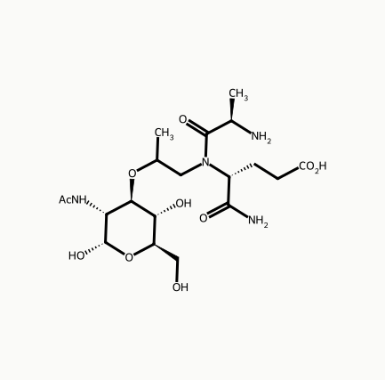 CC(=O)N[C@@H]1[C@@H](OC(C)CN(C(=O)[C@@H](C)N)[C@H](CCC(=O)O)C(N)=O)[C@H](O)[C@@H](CO)O[C@@H]1O